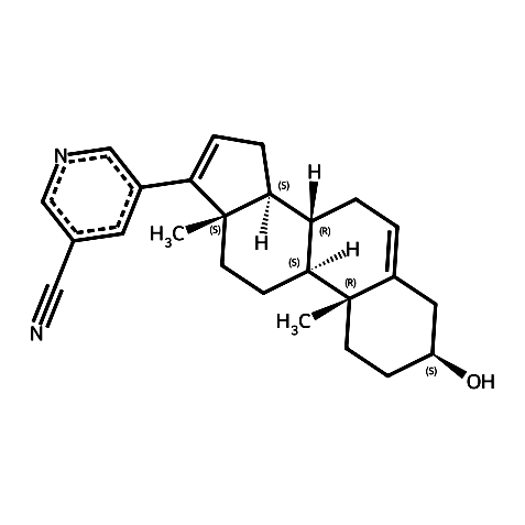 C[C@]12CC[C@H](O)CC1=CC[C@@H]1[C@@H]2CC[C@]2(C)C(c3cncc(C#N)c3)=CC[C@@H]12